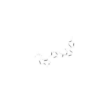 C[C@H](CO)Cn1ccc2ncnc(Oc3ccc(NC(=O)c4cccc(-c5ccc(F)cc5)[n+]4O)cc3F)c21